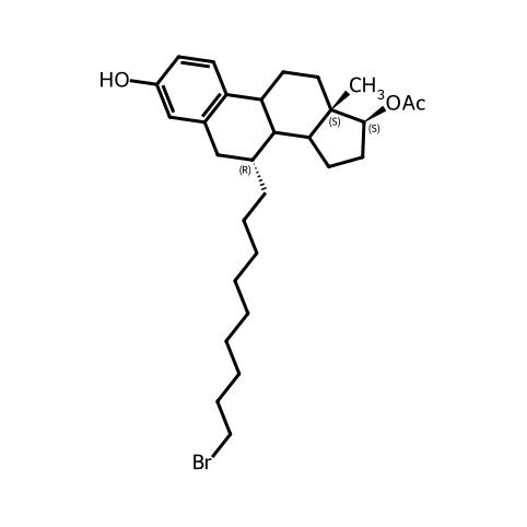 CC(=O)O[C@H]1CCC2C3C(CC[C@@]21C)c1ccc(O)cc1C[C@H]3CCCCCCCCCBr